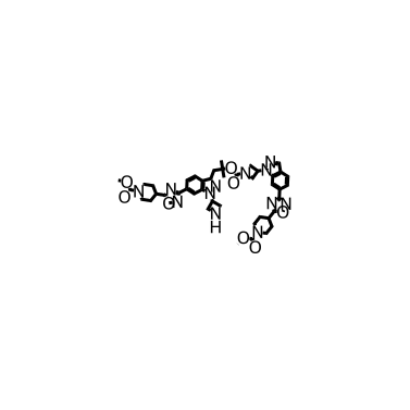 COC(=O)N1CCC(c2nc(-c3ccc4cnn(C5CN(C(=O)OC(C)(C)Cc6nn(C7CNC7)c7cc(-c8noc(C9CCN(C(=O)OC)CC9)n8)ccc67)C5)c4c3)no2)CC1